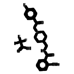 COc1ccccc1C(=O)NCC1CCN(CC(=O)c2ccc(F)cc2)CC1.O=C(O)C(F)(F)F